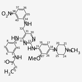 C=CC(=O)Nc1cccc(Nc2nc(Nc3ccc(N4CCN(C)CC4)cc3OC)ncc2CNc2cccc([N+](=O)[O-])c2)c1